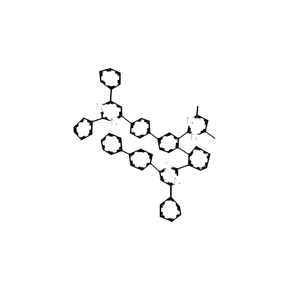 Cc1cc(C)nc(-c2cc(-c3ccc(-c4cc(-c5ccccc5)nc(-c5ccccc5)n4)cc3)ccc2-c2ccccc2-c2nc(-c3ccccc3)cc(-c3ccc(-c4ccccc4)cc3)n2)n1